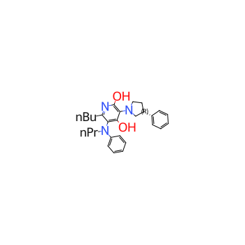 CCCCc1nc(O)c(N2CC[C@H](c3ccccc3)C2)c(O)c1N(CCC)c1ccccc1